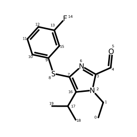 CCn1c(C=O)nc(Sc2cccc(F)c2)c1C(C)C